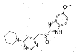 COc1ccc2[nH]c([S+]([O-])Cc3cc(N4CCCCC4)ncn3)nc2c1